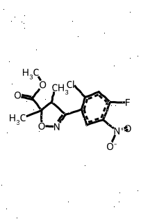 COC(=O)C1(C)ON=C(c2cc([N+](=O)[O-])c(F)cc2Cl)C1C